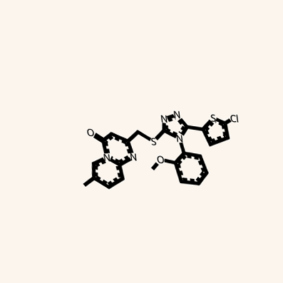 COc1ccccc1-n1c(SCc2cc(=O)n3cc(C)ccc3n2)nnc1-c1ccc(Cl)s1